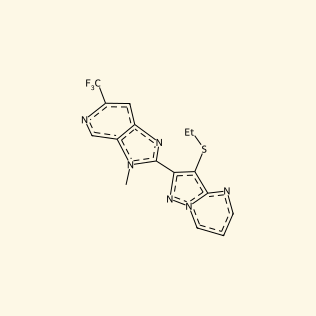 CCSc1c(-c2nc3cc(C(F)(F)F)ncc3n2C)nn2cccnc12